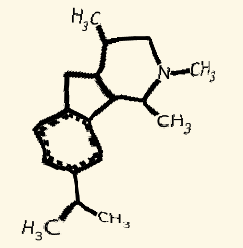 CC(C)c1ccc2c(c1)C1C(C2)C(C)CN(C)C1C